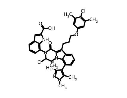 Cc1cc(OCCCc2c3n(c4c(-c5c(C)nn(C)c5C)cccc24)[C@H](C)C(Cl)N(c2cccc4cc(C(=O)O)[nH]c24)C3=O)cc(C)c1Cl